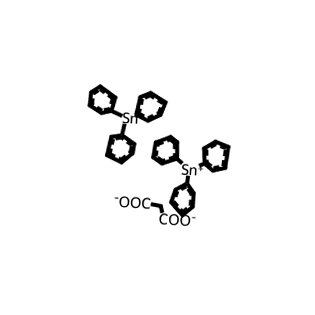 O=C([O-])CC(=O)[O-].c1cc[c]([Sn+]([c]2ccccc2)[c]2ccccc2)cc1.c1cc[c]([Sn+]([c]2ccccc2)[c]2ccccc2)cc1